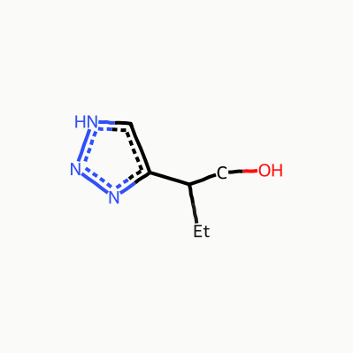 CCC(CO)c1c[nH]nn1